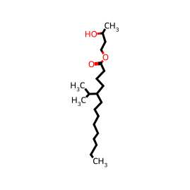 CCCCCCCCCC(CCCC(=O)OCCC(C)O)C(C)C